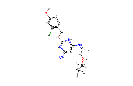 COc1ccc(CSc2nc(N)cc(N[C@H](C)CO[Si](C)(C)C(C)(C)C)n2)c(F)c1